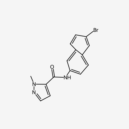 Cn1nccc1C(=O)Nc1ccc2cc(Br)ccc2c1